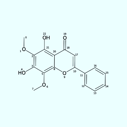 COc1c(O)c(OC)c2oc(-c3ccccc3)cc(=O)c2c1O